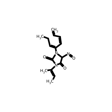 C=C/C=C\C(=C/CC)N1C(=O)N(/C(C)=C/C)C(=O)C1N=O